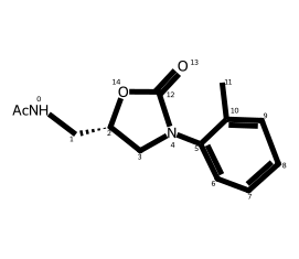 CC(=O)NC[C@H]1CN(c2ccccc2C)C(=O)O1